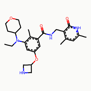 CCN(c1cc(OC2CNC2)cc(C(=O)NCc2c(C)cc(C)[nH]c2=O)c1C)C1CCOCC1